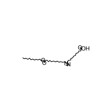 CCCCCCCCCCCCOC(=O)CCCCCCCCCCCN1CCN=C1CCCCCCCCCCC(=O)O